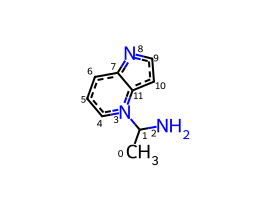 CC(N)n1cccc2nccc1-2